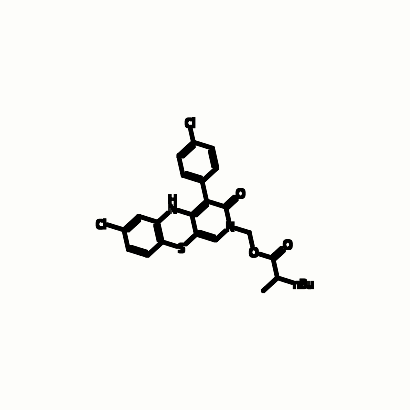 CCCCC(C)C(=O)OCn1cc2c(c(-c3ccc(Cl)cc3)c1=O)Nc1cc(Cl)ccc1S2